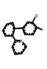 Fc1ccc(-c2ccccc2-c2ccccn2)cc1Cl